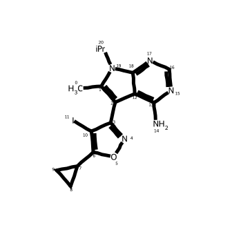 Cc1c(-c2noc(C3CC3)c2I)c2c(N)ncnc2n1C(C)C